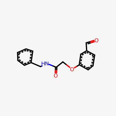 O=Cc1cccc(OCC(=O)NCc2ccccc2)c1